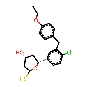 CCOc1ccc(Cc2cc([C@H]3C[C@@H](O)CC(S)O3)ccc2Cl)cc1